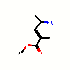 CCCOC(=O)C(C)=CC(C)N